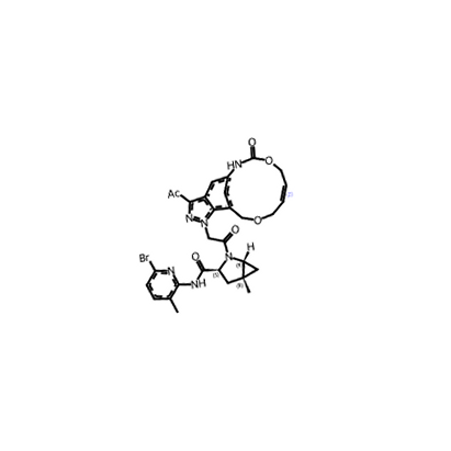 CC(=O)c1nn(CC(=O)N2[C@H](C(=O)Nc3nc(Br)ccc3C)C[C@@]3(C)C[C@@H]23)c2c3cc(cc12)NC(=O)OC/C=C\COC3